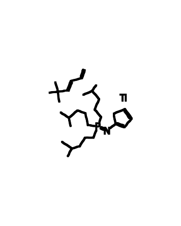 C=CC=CC(C)(C)C.CC(C)CCCP(CCCC(C)C)(CCCC(C)C)=NC1=CC=CC1.[Ti]